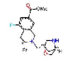 CC[C@@H]1Cc2c(F)cc(C(=O)OC)cc2CN1C[C@@]12CN[C@@H](CO1)C2